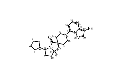 O=C1N2C(C3CCCC3)CC[C@H]2OC12CCN(c1ccnc3c(F)cnn13)CC2